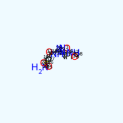 CC(C)[C@@H](C(=O)NCc1ccco1)n1cc(CNC(=O)c2ccc(S(N)(=O)=O)cc2)nn1